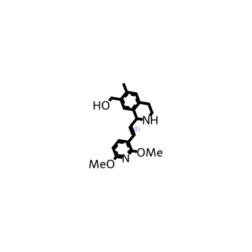 COc1ccc(/C=C/C2NCCc3cc(C)c(CO)cc32)c(OC)n1